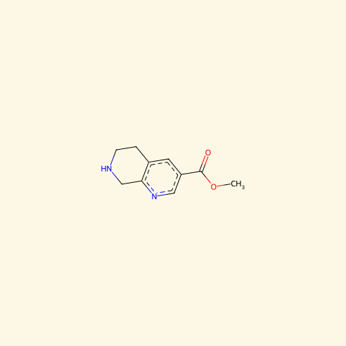 COC(=O)c1cnc2c(c1)CCNC2